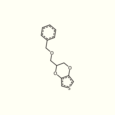 c1ccc(COCC2COc3cscc3O2)cc1